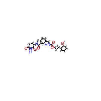 COc1ccccc1C1CC(OC(=O)NCc2ccc3c(c2)C(=O)N(C2CCC(=O)NC2=O)C3)C1